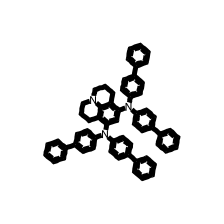 c1ccc(-c2ccc(N(c3ccc(-c4ccccc4)cc3)c3cc(N(c4ccc(-c5ccccc5)cc4)c4ccc(-c5ccccc5)cc4)c4c5c3CCCN5CCC4)cc2)cc1